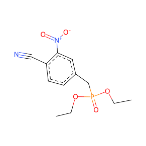 CCOP(=O)(Cc1ccc(C#N)c([N+](=O)[O-])c1)OCC